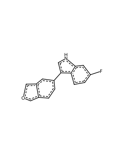 Fc1ccc2c(-c3ccc4cocc4c3)c[nH]c2c1